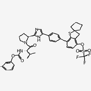 CC(C)[C@H](NC(=O)Oc1ccccc1)C(=O)N1CCC[C@H]1c1ncc(-c2ccc(-c3ccc(OS(=O)(=O)C(F)(F)F)c4c3SC3(CCCC3)C4)cc2)[nH]1